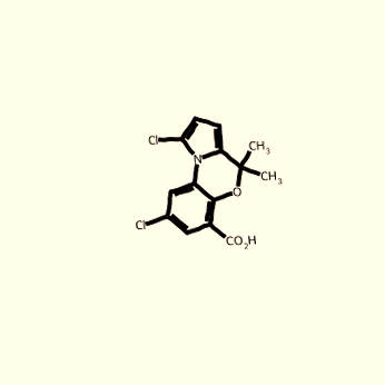 CC1(C)Oc2c(C(=O)O)cc(Cl)cc2-n2c(Cl)ccc21